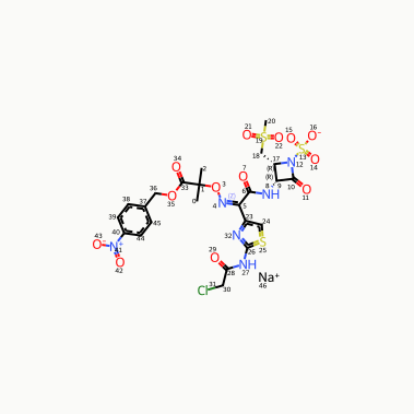 CC(C)(O/N=C(\C(=O)N[C@H]1C(=O)N(S(=O)(=O)[O-])[C@H]1CS(C)(=O)=O)c1csc(NC(=O)CCl)n1)C(=O)OCc1ccc([N+](=O)[O-])cc1.[Na+]